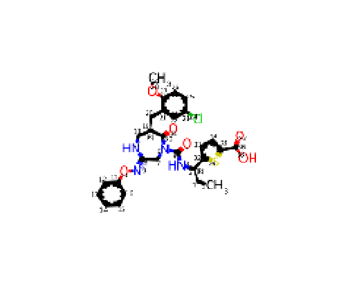 CC[C@@H](NC(=O)N1C/C(=N/Oc2ccccc2)NC[C@@H](Cc2cc(Cl)ccc2OC)C1=O)c1ccc(C(=O)O)s1